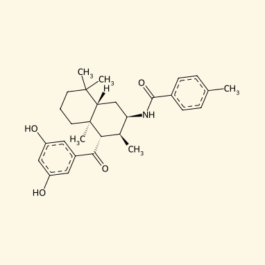 Cc1ccc(C(=O)N[C@@H]2C[C@H]3C(C)(C)CCC[C@]3(C)[C@@H](C(=O)c3cc(O)cc(O)c3)[C@@H]2C)cc1